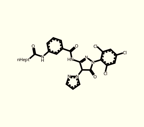 CCCCCCCC(=O)Nc1cccc(C(=O)NC2=NN(c3c(Cl)cc(Cl)cc3Cl)C(=O)C2n2cccn2)c1